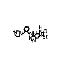 CCn1c(=O)[nH]c2cc3c(NCc4ccccc4CN4CCCN(C)CC4)ncnc3cc21